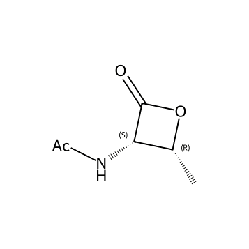 CC(=O)N[C@@H]1C(=O)O[C@@H]1C